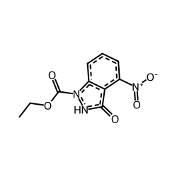 CCOC(=O)n1[nH]c(=O)c2c([N+](=O)[O-])cccc21